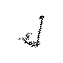 CCC(=O)N(CCOC)CCN(CCOC)C(=O)OCc1ccc(NC(=O)[C@H](C)NC(=O)C(NC(=O)CCOCCOCCOCCOCCOCCOCCN2C(=O)C=CC2=O)C(C)C)cc1